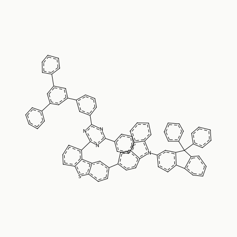 c1ccc(-c2cc(-c3ccccc3)cc(-c3cccc(-c4nc(-c5ccccc5)nc(-c5cccc6sc7ccc(-c8ccc9c(c8)c8ccccc8n9-c8ccc9c(c8)C(c8ccccc8)(c8ccccc8)c8ccccc8-9)cc7c56)n4)c3)c2)cc1